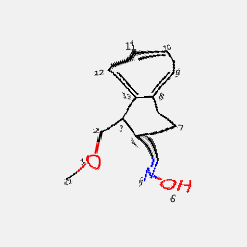 COCC1C(=NO)Cc2ccccc21